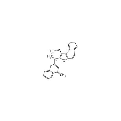 C=Cc1c([C@@H](C)C2=CC(=C)c3ccccc3C2)oc2ccc3ccccc3c12